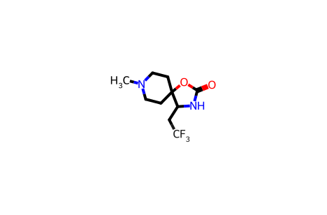 CN1CCC2(CC1)OC(=O)NC2CC(F)(F)F